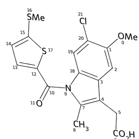 COc1cc2c(CC(=O)O)c(C)n(C(=O)c3ccc(SC)s3)c2cc1Cl